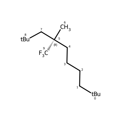 CC(C)(C)CCCC[C@](C)(CC(C)(C)C)C(F)(F)F